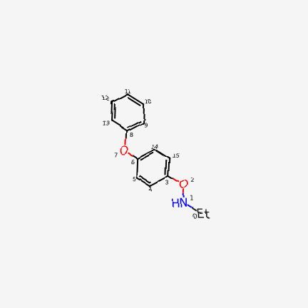 CCNOc1ccc(Oc2ccccc2)cc1